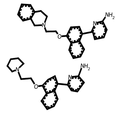 Nc1cccc(-c2ccc(OCCN3CCCCC3)c3ccccc23)n1.Nc1cccc(-c2ccc(OCCN3CCc4ccccc4C3)c3ccccc23)n1